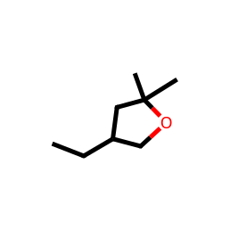 CCC1COC(C)(C)C1